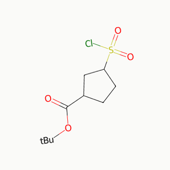 CC(C)(C)OC(=O)C1CCC(S(=O)(=O)Cl)C1